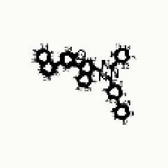 c1ccc(-c2ccc(-c3nc(-c4ccccc4)nc(-c4cc5oc6ccc(-c7cccc8ccccc78)cc6c5c5ccccc45)n3)cc2)cc1